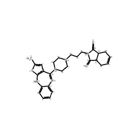 Cc1cc2c(s1)Nc1ccccc1N=C2N1CCN(CCCN2C(=O)C3CC=CCC3C2=O)CC1